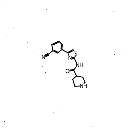 N#Cc1cccc(-c2csc(NC(=O)C3CCNCC3)n2)c1